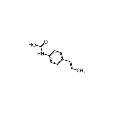 CC=Cc1ccc(NC(=O)O)cc1